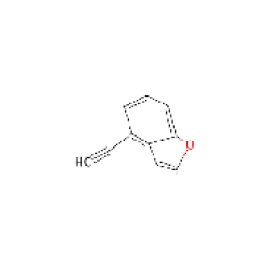 C#Cc1cccc2o[c]cc12